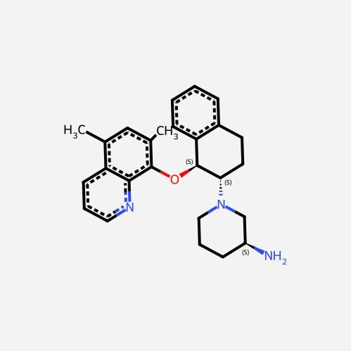 Cc1cc(C)c2cccnc2c1O[C@H]1c2ccccc2CC[C@@H]1N1CCC[C@H](N)C1